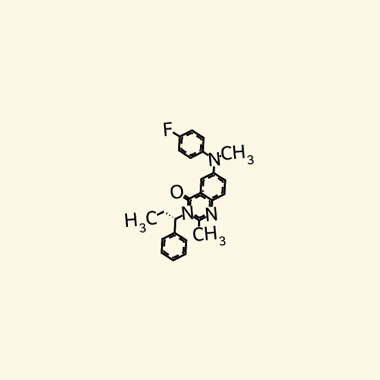 CC[C@@H](c1ccccc1)n1c(C)nc2ccc(N(C)c3ccc(F)cc3)cc2c1=O